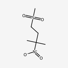 CC(C)(CCS(C)(=O)=O)[N+](=O)[O-]